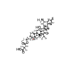 CC[C@H](CC[C@@]1(C)[C@H](C)CC[C@]2(C)[C@@H]1CC[C@@H]1C3=C(C(C)C)C(=O)C[C@]3(C(O)c3nnc(-c4ccc(F)cn4)n3CCN)CC[C@]12C)OC(=O)CC(C)(C)C(=O)O